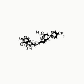 C[C@@H]1CN(c2ncc(C(F)(F)F)cn2)Cc2cc(COC[C@H](C)Nc3cn[nH]c(=O)c3C(F)(F)F)nn21